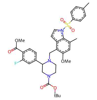 COC(=O)c1ccc(C2CN(C(=O)OC(C)(C)C)CCN2Cc2c(OC)cc(C)c3c2ccn3S(=O)(=O)c2ccc(C)cc2)cc1F